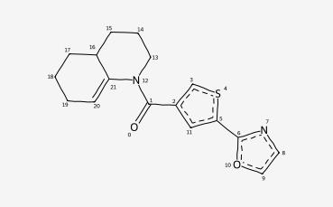 O=C(c1csc(-c2ncco2)c1)N1CCCC2CCCC=C21